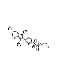 C[C@H](NS(=O)(=O)c1ccc(-c2c(C#N)c3cc(Cl)cnc3n2C2=CC=C2)cc1)C(F)(F)F